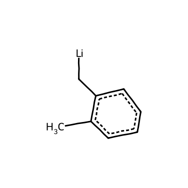 [Li][CH2]c1ccccc1C